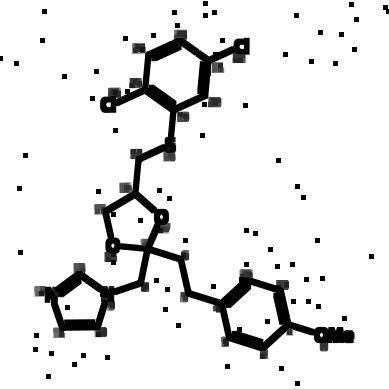 COc1ccc(CCC2(Cn3ccnc3)OCC(CSc3cc(Cl)ccc3Cl)O2)cc1